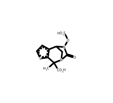 CC1(C(=O)O)c2sccc2C2CN1C(=O)N2OS(=O)(=O)O